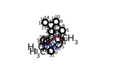 CC/C1=C(\c2cccc(-c3cccc4c5ccccc5c5cc(-c6ccc7c(c6)-c6ccccc6C7(C)C)ccc5c34)c2)[C@H](C)CC/C=C(\C2=CC=CCC2)NC(C2=CCCC=C2)C1